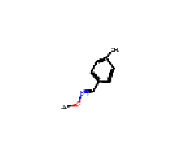 Cc1ccc(/C=N/OC(C)(C)C)cc1